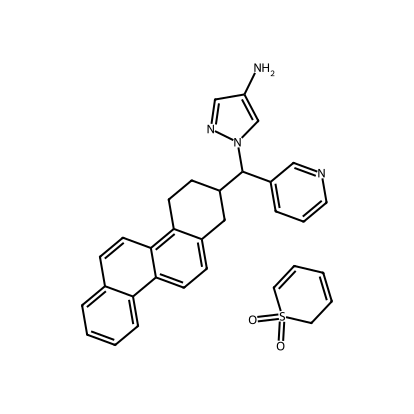 Nc1cnn(C(c2cccnc2)C2CCc3c(ccc4c3ccc3ccccc34)C2)c1.O=S1(=O)C=CC=CC1